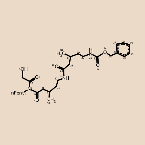 CCCCCN(C(=O)CO)C(=O)CC(C)CCNC(=O)CC(C)CCNC(=O)OCc1ccccc1